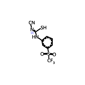 N#C/N=C(\S)Nc1cccc(S(=O)(=O)C(F)(F)F)c1